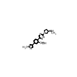 CNC1CCN(c2ncc(-c3ccc(-c4cnn(C)c4)cc3O)nn2)C1.Cl